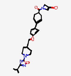 CC(C)c1noc(N2CCC(COc3ccc(C4=CCC(C(=O)N5CC(=O)C5)CC4)cc3)CC2)n1